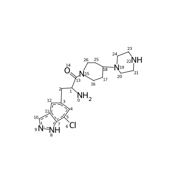 NC(Cc1cc(Cl)c2[nH]ncc2c1)C(=O)N1CCC(N2CCNCC2)CC1